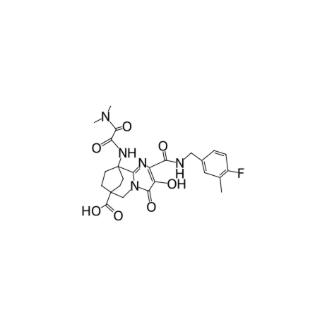 Cc1cc(CNC(=O)c2nc3n(c(=O)c2O)CC2(C(=O)O)CCC3(NC(=O)C(=O)N(C)C)CC2)ccc1F